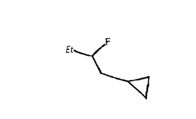 CCC(F)CC1CC1